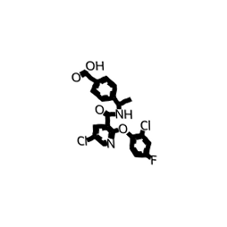 CC(NC(=O)c1cc(Cl)cnc1Oc1ccc(F)cc1Cl)c1ccc(C(=O)O)cc1